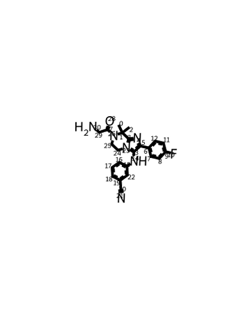 CC1(C)c2nc(-c3ccc(F)cc3)c(Nc3cccc(C#N)c3)n2CCN1C(=O)CN